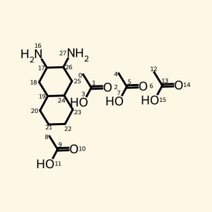 CC(=O)O.CC(=O)O.CC(=O)O.CC(=O)O.NC1CC2CCCCC2CC1N